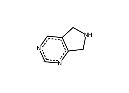 [c]1ncc2c(n1)CNC2